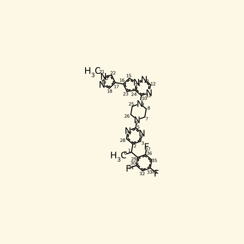 CC(c1cnc(N2CCN(c3ncnn4cc(-c5cnn(C)c5)cc34)CC2)nc1)c1c(F)cc(F)cc1F